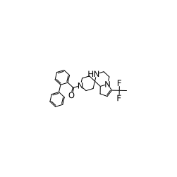 CC(F)(F)C1=CCC2N1CCNC21CCN(C(=O)c2ccccc2-c2ccccc2)CC1